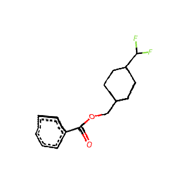 O=C(OCC1CCC(C(F)F)CC1)c1ccccc1